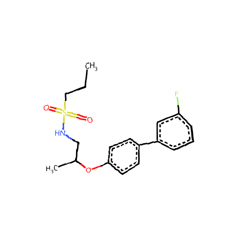 CCCS(=O)(=O)NCC(C)Oc1ccc(-c2cccc(F)c2)cc1